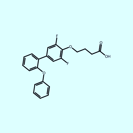 O=C(O)CCCOc1c(F)cc(-c2ccccc2Oc2ccccc2)cc1F